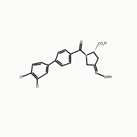 CO/N=C1\C[C@@H](C(=O)O)N(C(=O)c2ccc(-c3ccc(Cl)c(Cl)c3)cc2)C1